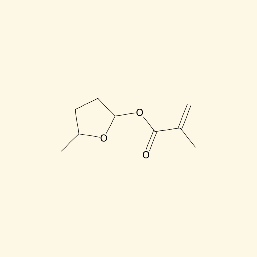 C=C(C)C(=O)OC1CCC(C)O1